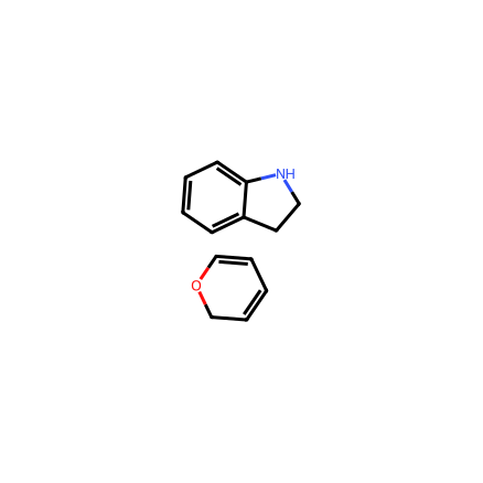 C1=CCOC=C1.c1ccc2c(c1)CCN2